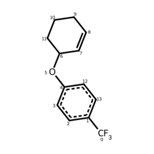 FC(F)(F)c1ccc(OC2C=CCCC2)cc1